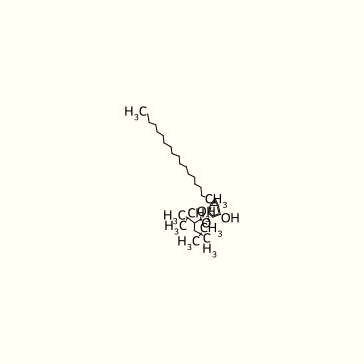 CC(C)(C)CC(C(=O)O)C(C)(C)C.CCCCCCCCCCCCCCCCCC.Oc1ccc2cc1-2